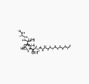 CCCCCCCCCCCCCCC[C@@H](O)[C@H](CO)NC(=O)C(O)CCCCC